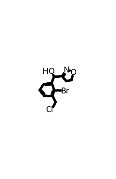 OC(C1=NOCC1)c1cccc(CCl)c1Br